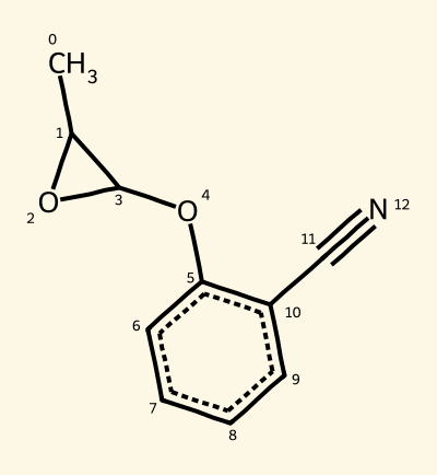 CC1OC1Oc1ccccc1C#N